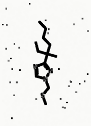 CCCCC(C)(CC)c1ncn(CSC)n1